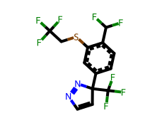 FC(F)c1ccc(C2(C(F)(F)F)C=CN=N2)cc1SCC(F)(F)F